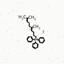 CC(C)=CCC/C(C)=C/CCC[P+](c1ccccc1)(c1ccccc1)c1ccccc1.[I-]